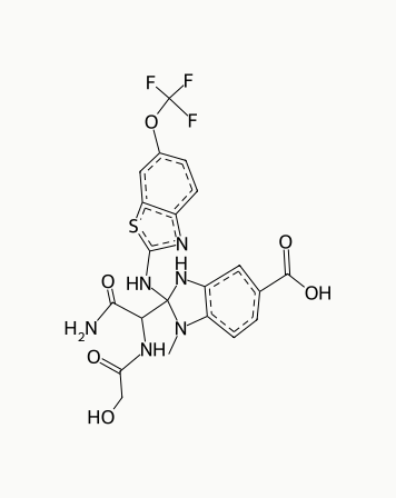 CN1c2ccc(C(=O)O)cc2NC1(Nc1nc2ccc(OC(F)(F)F)cc2s1)C(NC(=O)CO)C(N)=O